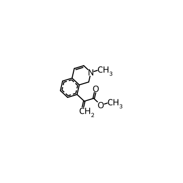 C=C(C(=O)OC)c1cccc2c1CN(C)C=C2